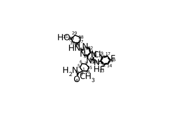 C[C@]1(C(N)=O)CC[C@H](n2c(Nc3c(F)cc(F)cc3Cl)nc3cnc(N[C@@H]4CCC[C@H](O)C4)nc32)CC1